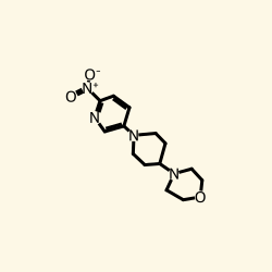 O=[N+]([O-])c1ccc(N2CCC(N3CCOCC3)CC2)cn1